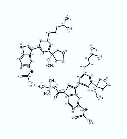 CO[C@@]1(c2cc(OCC[C@H](C)O)cc(-c3c[nH]c4cnc(NC(C)=O)cc34)n2)CCOC1.CO[C@@]1(c2cc(OCC[C@H](C)O)cc(-c3cn(C(=O)OC(C)(C)C)c4cnc(NC(C)=O)cc34)n2)CCOC1